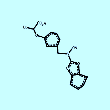 CCCN(Cc1cccc(OC(CC)C(=O)O)c1)c1nc2ccccc2o1